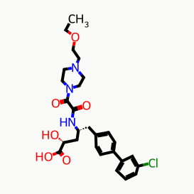 CCOCCN1CCN(C(=O)C(=O)N[C@H](Cc2ccc(-c3cccc(Cl)c3)cc2)C[C@@H](O)C(=O)O)CC1